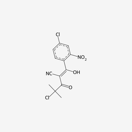 CC(C)(Cl)C(=O)/C(C#N)=C(\O)c1ccc(Cl)cc1[N+](=O)[O-]